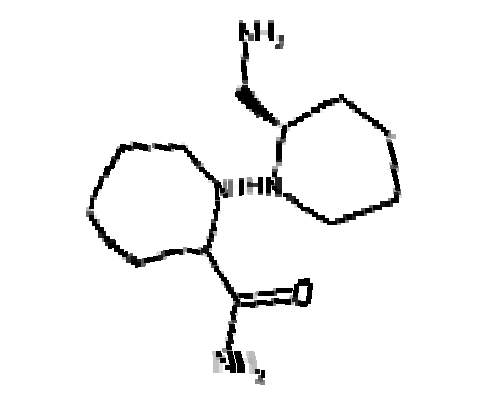 NC(=O)C1CCCCN1.NC[C@H]1CCCCN1